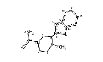 CC1CCN(C(N)=O)CC1n1cc2ccccc2n1